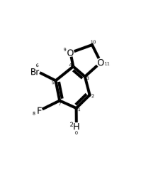 [2H]c1cc2c(c(Br)c1F)OCO2